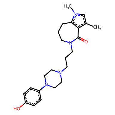 Cc1cn(C)c2c1C(=O)N(CCCN1CCN(c3ccc(O)cc3)CC1)CCC2